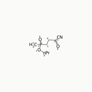 CCCOP(C)(=O)CCC(=O)C#N